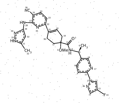 COC1(C(=O)N[C@@H](C)c2ccc(-n3cc(F)cn3)nc2)CC=C(c2ccc(C#N)c(Nc3cc(C)[nH]n3)n2)CC1